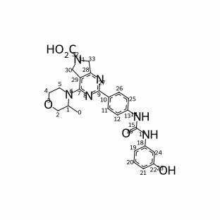 CC1COCCN1c1nc(-c2ccc(NC(=O)Nc3cccc(O)c3)cc2)nc2c1CN(C(=O)O)C2